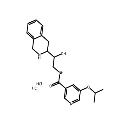 CC(C)Oc1cncc(C(=O)NCC(O)C2Cc3ccccc3CN2)c1.Cl.Cl